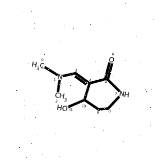 CN(C)/C=C1/C(=O)NCCC1O